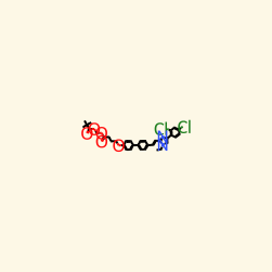 CCn1cc(-c2ccc(Cl)cc2Cl)nc1/C=C/c1ccc(-c2ccc(OCCCC(=O)OCOC(=O)C(C)(C)C)cc2)cc1